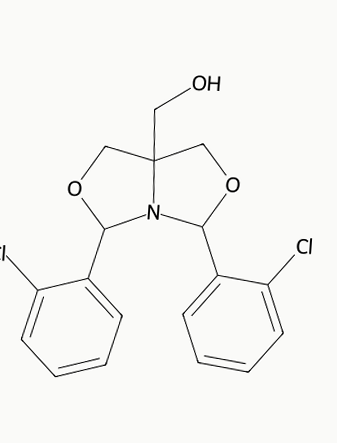 OCC12COC(c3ccccc3Cl)N1C(c1ccccc1Cl)OC2